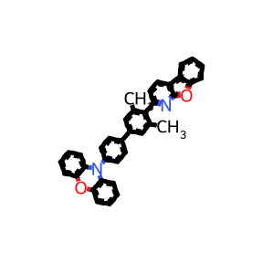 Cc1cc(-c2ccc(N3c4ccccc4Oc4ccccc43)cc2)cc(C)c1-c1ccc2c(n1)oc1ccccc12